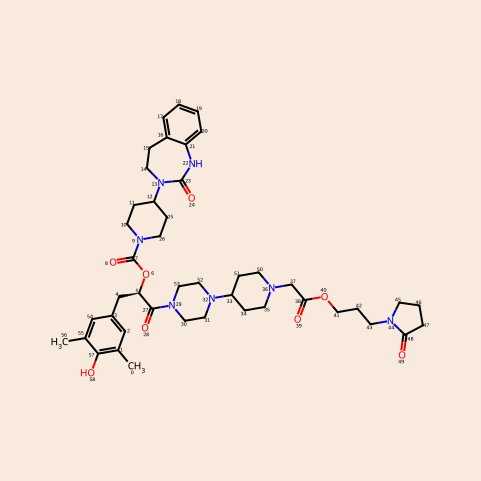 Cc1cc(C[C@@H](OC(=O)N2CCC(N3CCc4ccccc4NC3=O)CC2)C(=O)N2CCN(C3CCN(CC(=O)OCCCN4CCCC4=O)CC3)CC2)cc(C)c1O